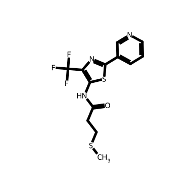 CSCCC(=O)Nc1sc(-c2cccnc2)nc1C(F)(F)F